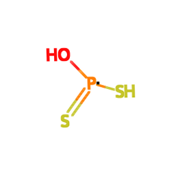 O[P](=S)S